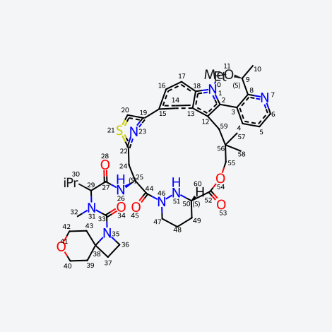 CCn1c(-c2cccnc2[C@H](C)OC)c2c3cc(ccc31)-c1csc(n1)C[C@H](NC(=O)C(C(C)C)N(C)C(=O)N1CCC13CCOCC3)C(=O)N1CCC[C@H](N1)C(=O)OCC(C)(C)C2